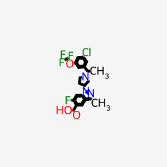 Cc1nn([C@@H]2CCN(C(C)c3cc(Cl)cc(OC(F)(F)F)c3)C2)c2cc(F)c(C(=O)O)cc12